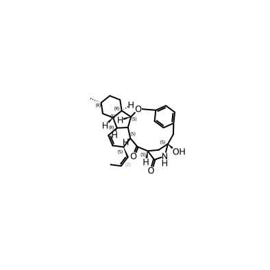 C/C=C\[C@H]1C=C[C@@H]2C3[C@@H](Oc4ccc(cc4)C[C@@]4(O)C[C@H](C(=O)N4)C(=O)[C@H]31)[C@@H]1CC[C@@H](C)C[C@H]12